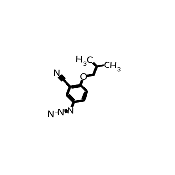 CC(C)COc1ccc(N=[N+]=[N-])cc1C#N